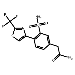 NC(=O)Cc1ccc(-c2csc(C(F)(F)F)n2)c(S(N)(=O)=O)c1